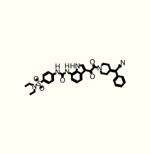 CCN(CC)S(=O)(=O)c1ccc(NC(=O)Nc2cccc3c(C(=O)C(=O)N4CCC(=C(C#N)c5ccccc5)CC4)c[nH]c23)cc1